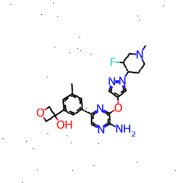 Cc1cc(-c2cnc(N)c(Oc3cnn(C4CCN(C)CC4F)c3)n2)cc(C2(O)COC2)c1